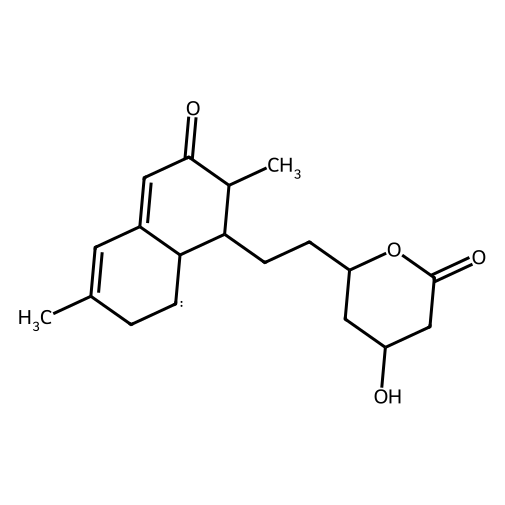 CC1=CC2=CC(=O)C(C)C(CCC3CC(O)CC(=O)O3)C2[C]C1